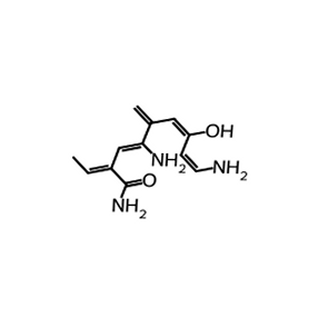 C=C(/C=C(O)\C=C/N)/C(N)=C/C(=C\C)C(N)=O